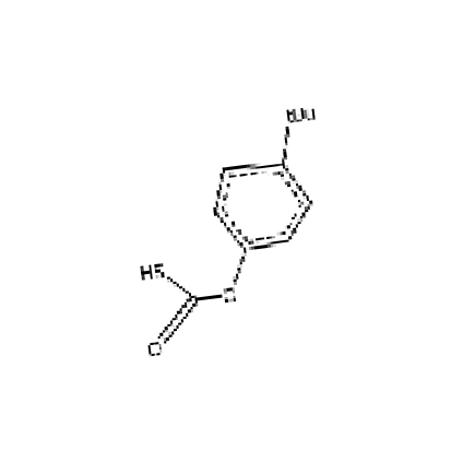 CC(C)(C)c1ccc(OC(=O)S)cc1